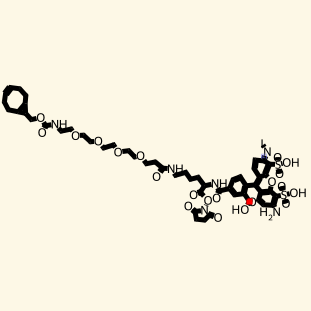 Nc1ccc2c(-c3ccc(C(=O)NC(CCCCNC(=O)CCOCCOCCOCCOCCNC(=O)OCC4C5CCC#CCCC54)C(=O)ON4C(=O)CCC4=O)cc3C(=O)O)c3cc/c(=N\I)c(S(=O)(=O)O)c-3oc2c1S(=O)(=O)O